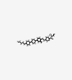 C=CC(=O)N(C)C1CCC(CCc2ccc(C3CCC(C4CCC(CCCCC)CC4)CC3)cc2F)CC1